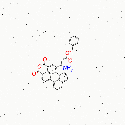 NC(CC(=O)OCc1ccccc1)c1cc2c3c(ccc4c5cccc6cccc(c1c34)c65)C(=O)OC2=O